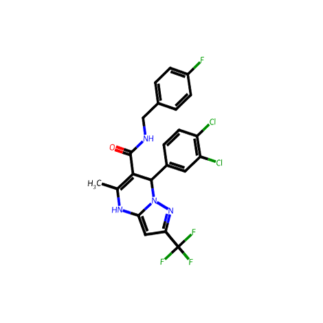 CC1=C(C(=O)NCc2ccc(F)cc2)C(c2ccc(Cl)c(Cl)c2)n2nc(C(F)(F)F)cc2N1